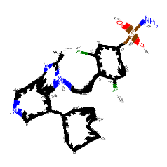 Cc1nc2cncc(-c3ccccc3)c2n1Cc1c(F)cc(S(N)(=O)=O)cc1F